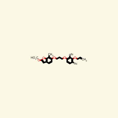 C=CCOc1c(C(C)=O)ccc(OCCCOc2ccc3cc(OC(=O)O)oc3c2C)c1CCC